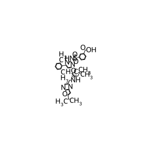 Cc1cccc(C)c1-c1cc(OC[C@@H](CC(C)(C)C)NCc2cnc3oc(C(C)C)cc3n2)nc(NS(=O)(=O)c2cccc(C(=O)O)c2)n1